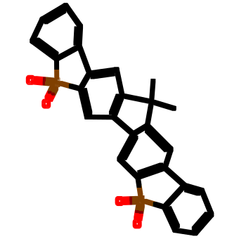 CC1(C)c2cc3c(cc2-c2cc4c(cc21)-c1ccccc1S4(=O)=O)S(=O)(=O)c1ccccc1-3